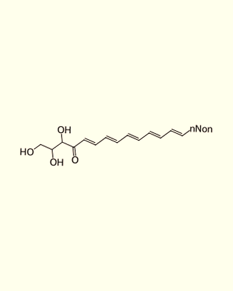 CCCCCCCCCC=CC=CC=CC=CC=CC(=O)C(O)C(O)CO